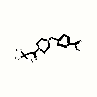 CC(C)(C)OC(=O)N1CCN(Cc2ccc(C(=O)O)cc2)CC1